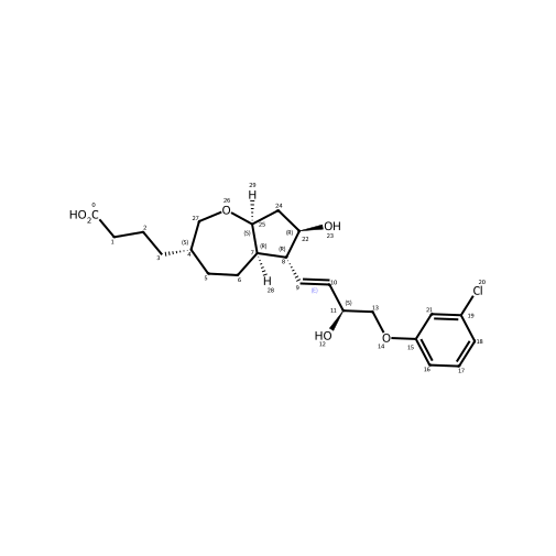 O=C(O)CCC[C@H]1CC[C@@H]2[C@@H](/C=C/[C@H](O)COc3cccc(Cl)c3)[C@H](O)C[C@@H]2OC1